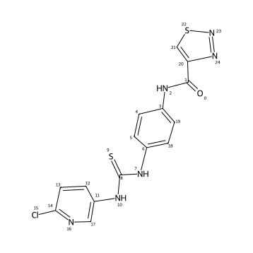 O=C(Nc1ccc(NC(=S)Nc2ccc(Cl)nc2)cc1)c1csnn1